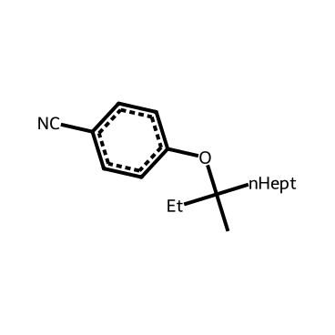 CCCCCCCC(C)(CC)Oc1ccc(C#N)cc1